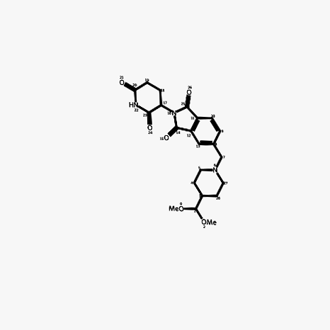 COC(OC)C1CCN(Cc2ccc3c(c2)C(=O)N(C2CCC(=O)NC2=O)C3=O)CC1